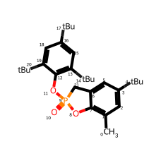 Cc1cc(C(C)(C)C)cc2c1OP(=O)(Oc1c(C(C)(C)C)cc(C(C)(C)C)cc1C(C)(C)C)C2